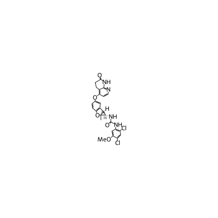 COc1cc(NC(=O)N[C@H]2[C@@H]3c4cc(Oc5ccnc6c5CCC(=O)N6)ccc4OC23C)c(Cl)cc1Cl